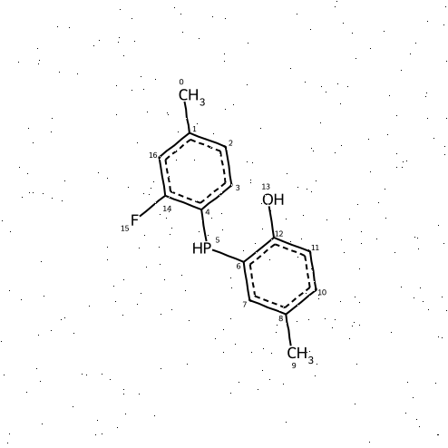 Cc1ccc(Pc2cc(C)ccc2O)c(F)c1